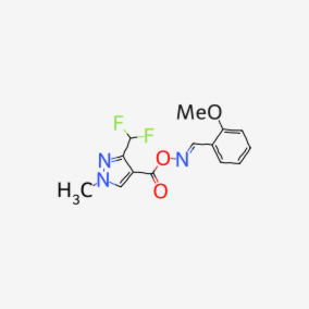 COc1ccccc1/C=N/OC(=O)c1cn(C)nc1C(F)F